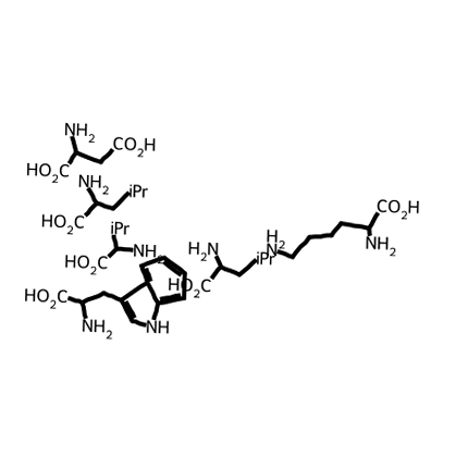 CC(C)C(N)C(=O)O.CC(C)CC(N)C(=O)O.CC(C)CC(N)C(=O)O.NC(CC(=O)O)C(=O)O.NC(Cc1c[nH]c2ccccc12)C(=O)O.NCCCCC(N)C(=O)O